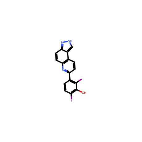 Oc1c(I)ccc(-c2ccc3c(ccc4n[nH]cc43)n2)c1I